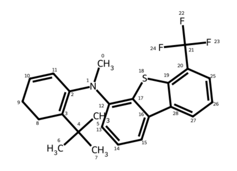 CN(C1=C(C(C)(C)C)CCC=C1)c1cccc2c1sc1c(C(F)(F)F)cccc12